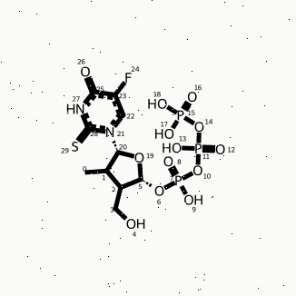 CC1C(CO)[C@@H](OP(=O)(O)OP(=O)(O)OP(=O)(O)O)O[C@H]1n1cc(F)c(=O)[nH]c1=S